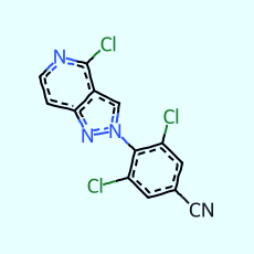 N#Cc1cc(Cl)c(-n2cc3c(Cl)nccc3n2)c(Cl)c1